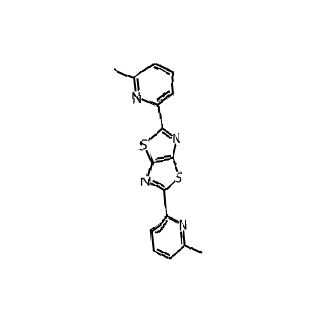 Cc1cccc(-c2nc3sc(-c4cccc(C)n4)nc3s2)n1